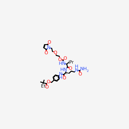 CCC(C)(C)C(=O)OCc1ccc(NC(=O)[C@H](CCCNC(N)=O)NC(=O)C(NC(=O)OCCOCCN2C(=O)C=CC2=O)C(C)C)cc1